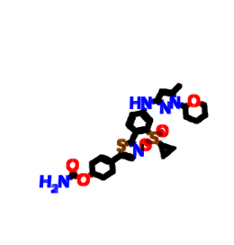 Cc1cc(Nc2ccc(-c3ncc(C4=CCC(OC(N)=O)CC4)s3)c(S(=O)(=O)C3CC3)c2)nn1C1CCCCO1